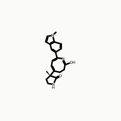 Cn1ccc2cc(C3=C/C=C(/[C@@]4(C)CCNC4=O)CC/C(O)=N\3)ccc21